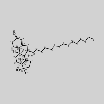 CCCCCSCCCCCCCCC[C@@H]1CC2=CC(=O)CC[C@]2(C)[C@H]2CC[C@@]3(C)[C@@H](CC[C@]3(C)O)[C@H]12